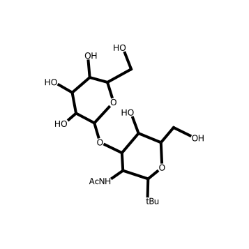 CC(=O)NC1C(OC2OC(CO)C(O)C(O)C2O)C(O)C(CO)OC1C(C)(C)C